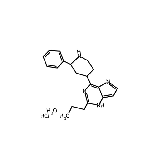 CCCc1nc(C2CCNC(c3ccccc3)C2)c2nccc-2[nH]1.Cl.O